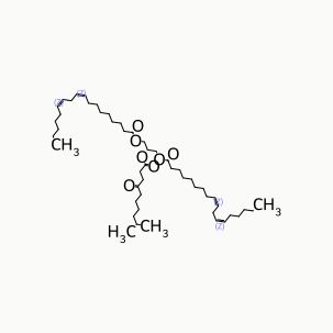 CCCCC/C=C\C/C=C\CCCCCCCC(=O)OCC(COC(=O)CCCCCCC/C=C\C/C=C\CCCCC)OC(=O)CCC(=O)CCCCC(C)C